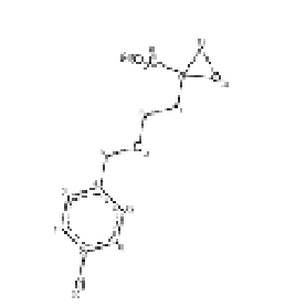 CCOC(=O)C1(CCOCc2ccc(Cl)cc2)CO1